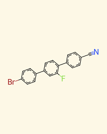 N#Cc1ccc(-c2ccc(-c3ccc(Br)cc3)cc2F)cc1